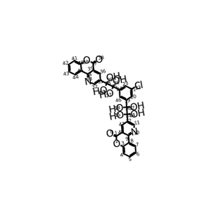 O=c1oc2ccccc2c2ncc(C(O)(O)C(O)(O)c3cc(Cl)cc(C(O)(O)C(O)(O)c4cnc5c(c4)c(=O)oc4ccccc45)c3)cc12